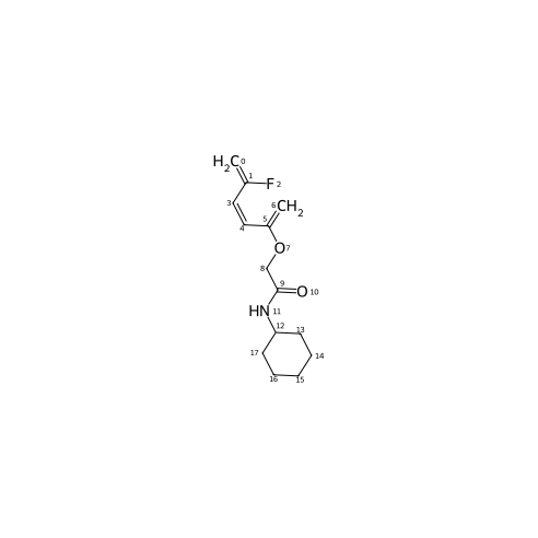 C=C(F)/C=C\C(=C)OCC(=O)NC1CCCCC1